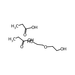 CCC(=O)O.CCC(=O)O.OCCOCCO